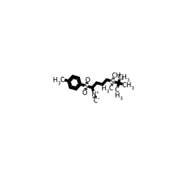 [C-]#[N+]C(CCC[Si](C)(C)C(C)(C)C)S(=O)(=O)c1ccc(C)cc1